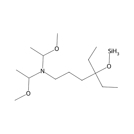 CCC(CC)(CCCN(C(C)OC)C(C)OC)O[SiH3]